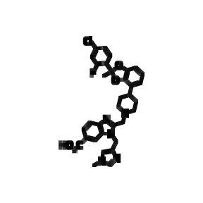 Cn1cnc(Cn2c(CN3CCC(c4cccc5c4OC(C)(c4ccc(Cl)cc4F)O5)CC3)nc3ccc(C(=O)O)cc32)c1